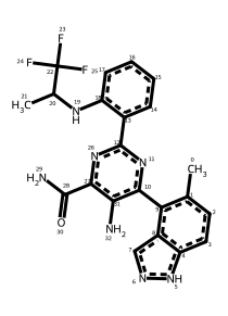 Cc1ccc2[nH]ncc2c1-c1nc(-c2ccccc2NC(C)C(F)(F)F)nc(C(N)=O)c1N